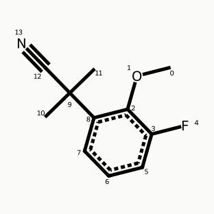 COc1c(F)cccc1C(C)(C)C#N